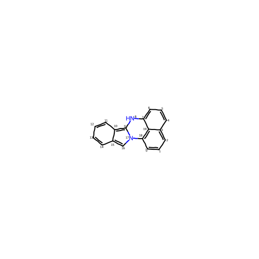 [c]1ccc2cccc3[nH]c4c5ccccc5cn4c1c23